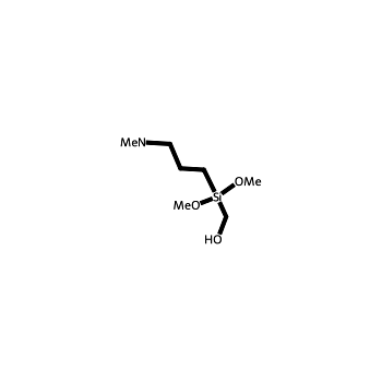 CNCCC[Si](CO)(OC)OC